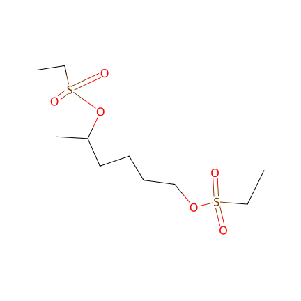 CCS(=O)(=O)OCCCCC(C)OS(=O)(=O)CC